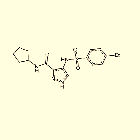 CCc1ccc(S(=O)(=O)Nc2c[nH]nc2C(=O)NC2CCCC2)cc1